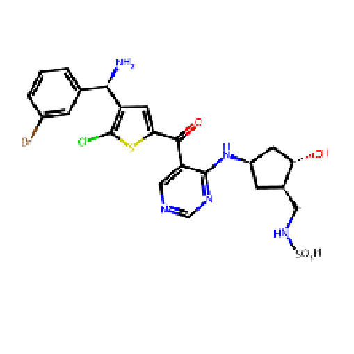 N[C@H](c1cccc(Br)c1)c1cc(C(=O)c2cncnc2N[C@H]2C[C@H](O)[C@@H]([CH]NS(=O)(=O)O)C2)sc1Cl